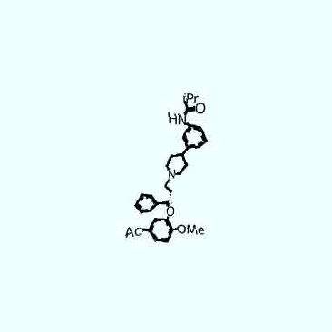 COc1ccc(C(C)=O)cc1O[C@@H](CCN1CCC(c2cccc(NC(=O)C(C)C)c2)CC1)c1ccccc1